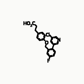 O=C(O)CCc1ccc(OCc2cc(F)ccc2-c2cncc(Cl)c2)cc1